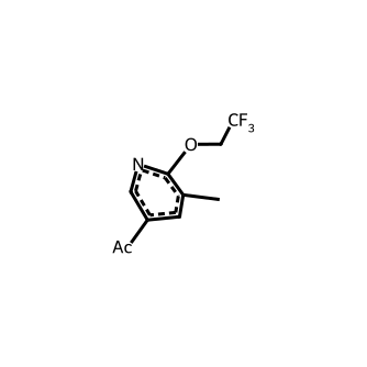 CC(=O)c1cnc(OCC(F)(F)F)c(C)c1